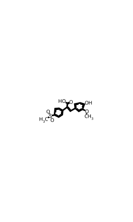 COc1cc(C=C(C(=O)O)c2ccc(S(C)(=O)=O)cc2)ccc1O